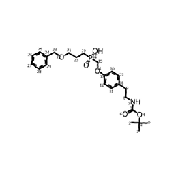 CC(C)(C)OC(=O)NCCc1ccc(OCP(=O)(O)CCCOCc2ccccc2)cc1